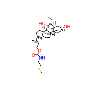 CC[C@H]1[C@@H](O)C2[C@@H]3CC[C@H]([C@H](C)CCOC(=O)NCCSC)C3(C)CC[C@@H]2[C@@]2(C)CC[C@@H](O)C[C@@H]12